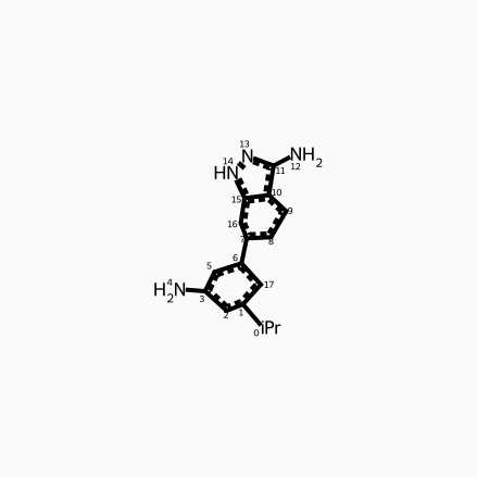 CC(C)c1cc(N)cc(-c2ccc3c(N)n[nH]c3c2)c1